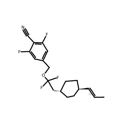 C/C=C/[C@H]1CC[C@H](CC(F)(F)OCc2cc(F)c(C#N)c(F)c2)CC1